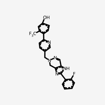 Oc1ccc(-c2ccc(CN3Cc4nc(-c5ccccc5F)[nH]c4C=N3)cn2)c(C(F)(F)F)c1